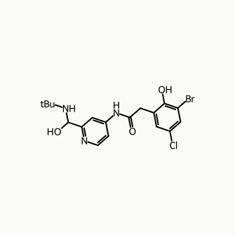 CC(C)(C)NC(O)c1cc(NC(=O)Cc2cc(Cl)cc(Br)c2O)ccn1